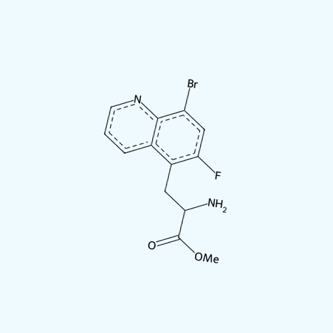 COC(=O)C(N)Cc1c(F)cc(Br)c2ncccc12